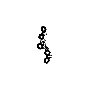 c1ccc2c(c1)oc1cc3nc4n(c3cc12)c1cccc2c1n4c1nc3c4oc5ccccc5c4ccc3n21